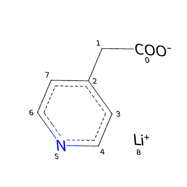 O=C([O-])Cc1ccncc1.[Li+]